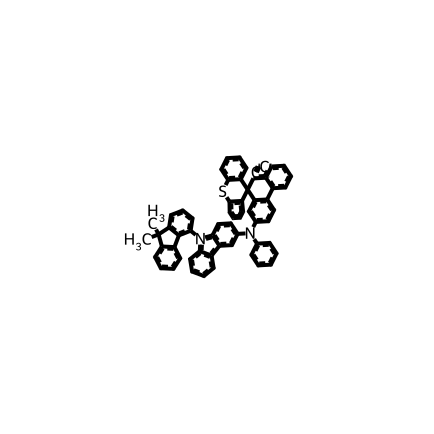 CC1(C)c2ccccc2-c2c(-n3c4ccccc4c4cc(N(c5ccccc5)c5ccc6c(c5)C5(c7ccccc7Sc7ccccc75)c5cccc7cccc-6c57)ccc43)cccc21